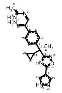 C=C(N)/N=C\C(=C/N)c1ccc([C@@](C)(c2noc(-c3cn[nH]c3)n2)C2CC2)cc1